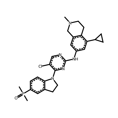 CN1CCc2c(cc(Nc3ncc(Cl)c(N4CCc5cc(P(C)(C)=O)ccc54)n3)cc2C2CC2)C1